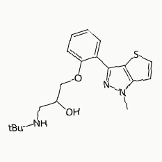 Cn1nc(-c2ccccc2OCC(O)CNC(C)(C)C)c2sccc21